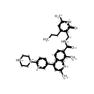 CCCc1cc(C)[nH]c(=O)c1CNC(=O)c1ccc2c(-c3ccc(N4CCNCC4)nc3)cc(C)nc2c1C